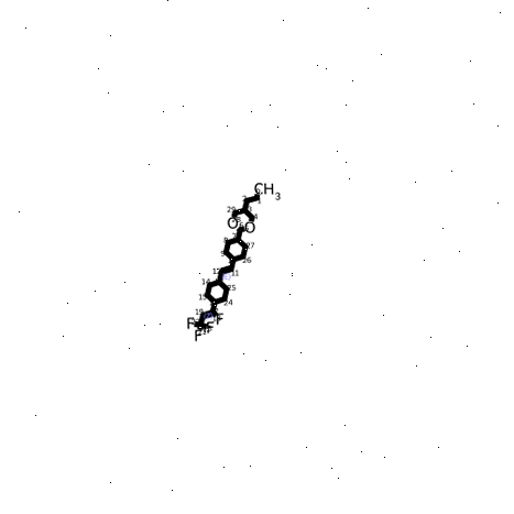 CCCC1COC(C2CCC(/C=C/C3CCC(/C(F)=C/C(F)(F)F)CC3)CC2)OC1